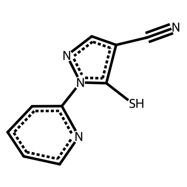 N#Cc1cnn(-c2ccccn2)c1S